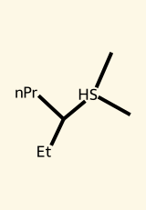 CCCC(CC)[SH](C)C